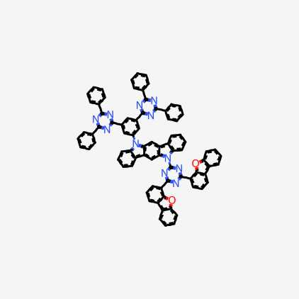 c1ccc(-c2nc(-c3ccccc3)nc(-c3cc(-c4nc(-c5ccccc5)nc(-c5ccccc5)n4)cc(-n4c5ccccc5c5cc6c(cc54)c4ccccc4n6-c4nc(-c5cccc6c5oc5ccccc56)nc(-c5cccc6c5oc5ccccc56)n4)c3)n2)cc1